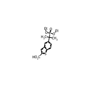 CCOP(=O)(OCC)C(C)(C)c1ccc2sc(C(=O)O)cc2c1